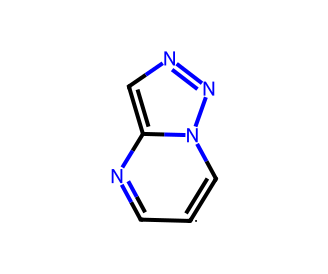 [c]1cnc2cnnn2c1